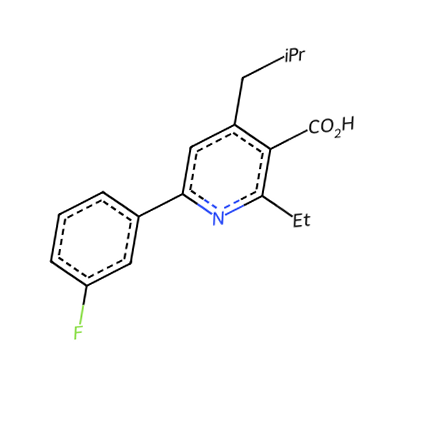 CCc1nc(-c2cccc(F)c2)cc(CC(C)C)c1C(=O)O